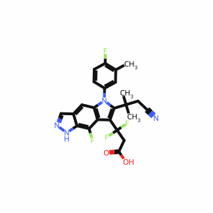 Cc1cc(-n2c(C(C)(C)CC#N)c(C(F)(F)CC(=O)O)c3c(F)c4[nH]ncc4cc32)ccc1F